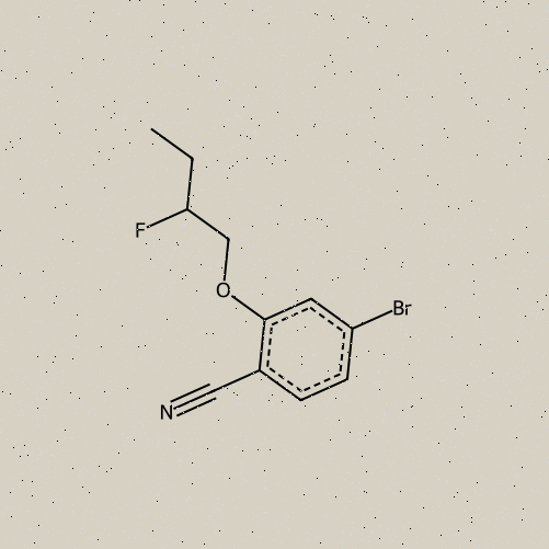 CCC(F)COc1cc(Br)ccc1C#N